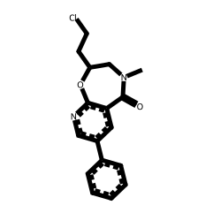 CN1CC(CCCl)Oc2ncc(-c3ccccc3)cc2C1=O